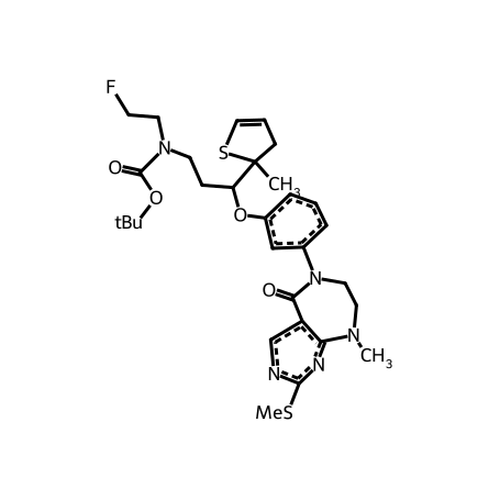 CSc1ncc2c(n1)N(C)CCN(c1cccc(OC(CCN(CCF)C(=O)OC(C)(C)C)C3(C)CC=CS3)c1)C2=O